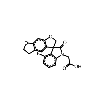 O=C(O)CN1C(=O)C2(COc3cc4c(cc32)CCO4)c2c(F)cccc21